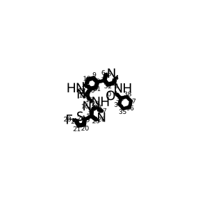 O=C(Nc1cncc(-c2ccc3[nH]nc(-c4nc5c(-c6ccc(F)s6)cncc5[nH]4)c3c2)c1)C1CCCCC1